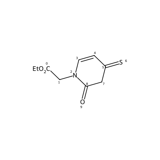 CCOC(=O)CN1C=CC(=S)CC1=O